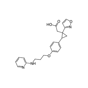 O=C(O)CC1(c2ccon2)CC1c1ccc(OCCCNc2ccccn2)cc1